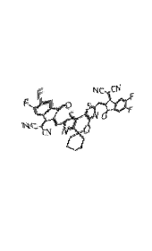 N#CC(C#N)=C1/C(=C/c2nc3c(s2)-c2sc(/C=C4\C(=O)c5cc(F)c(F)cc5C4=C(C#N)C#N)nc2C2(CCCCC2)O3)C(=O)c2cc(F)c(F)cc21